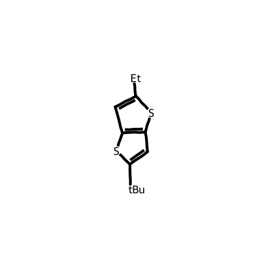 CCc1cc2sc(C(C)(C)C)cc2s1